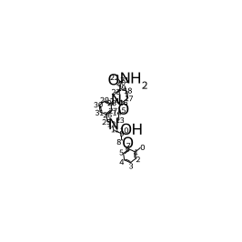 Cc1ccccc1OCC(O)CN(CCOc1ccc(C(N)=O)cn1)Cc1ccccc1